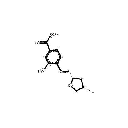 COC(=O)c1ccc(OC[C@@H]2C[C@H](F)CN2)c(C)c1